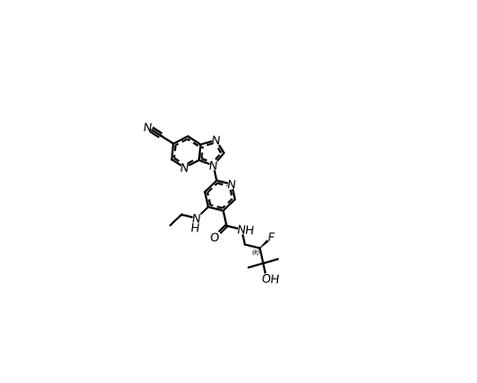 CCNc1cc(-n2cnc3cc(C#N)cnc32)ncc1C(=O)NC[C@@H](F)C(C)(C)O